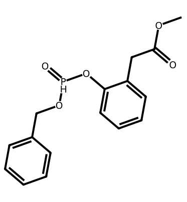 COC(=O)Cc1ccccc1O[PH](=O)OCc1ccccc1